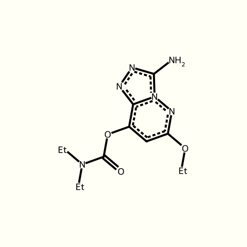 CCOc1cc(OC(=O)N(CC)CC)c2nnc(N)n2n1